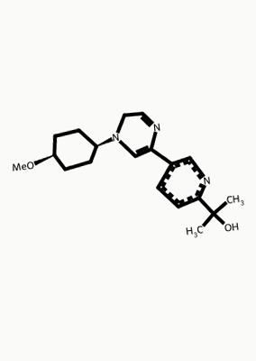 CO[C@H]1CC[C@@H](N2C=C(c3ccc(C(C)(C)O)nc3)N=CC2)CC1